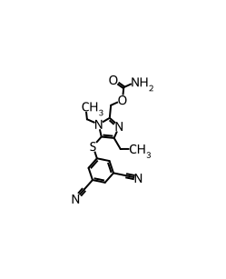 CCc1nc(COC(N)=O)n(CC)c1Sc1cc(C#N)cc(C#N)c1